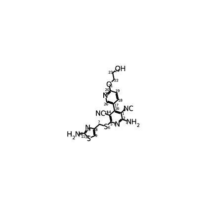 [C-]#[N+]c1c(N)nc(SCc2csc(N)n2)c(C#N)c1-c1ccc(OCCO)nc1